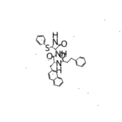 O=C(CCc1ccccc1)N[C@@H](Cc1ccc2ccccc2c1)C(=O)N[C@H]1C(=O)NC1Sc1ccccc1